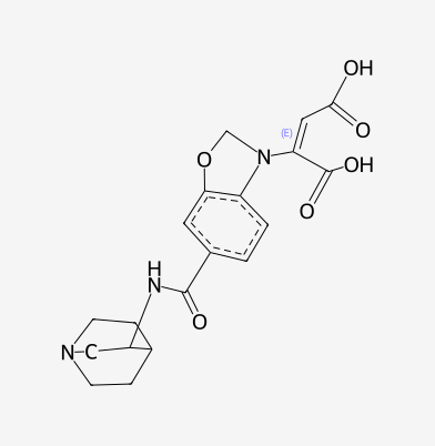 O=C(O)/C=C(\C(=O)O)N1COc2cc(C(=O)NC3CN4CCC3CC4)ccc21